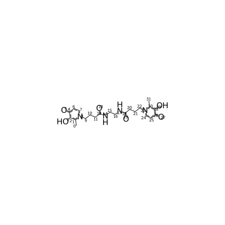 Cc1c(O)c(=O)ccn1CCCC(=O)NCCNC(=O)CCCn1ccc(=O)c(O)c1C